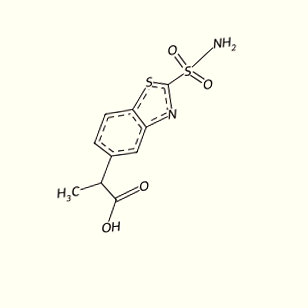 CC(C(=O)O)c1ccc2sc(S(N)(=O)=O)nc2c1